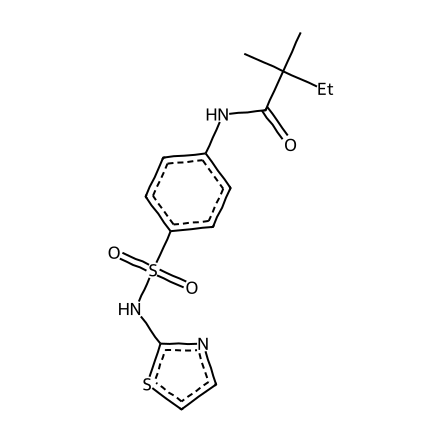 CCC(C)(C)C(=O)Nc1ccc(S(=O)(=O)Nc2nccs2)cc1